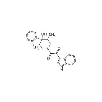 Cc1ccccc1C1(O)CCN(C(=O)C(=O)c2c[nH]c3ccccc23)CC1C